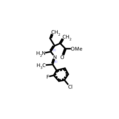 C=C/C(C(=C)C(=O)OC)=C(N)/N=C(\C)c1ccc(Cl)cc1F